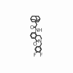 O=C(CC12CC3CC(CC(C3)C1)C2)Nc1cccc2c1CCN(Cc1ccc(F)c(F)c1)C2=O